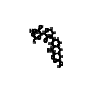 COC(=O)CC1Cc2ccc(N3CCO[C@H]([C@@H](OC(C)=O)C(=O)O)C3=O)cc2NC1=O